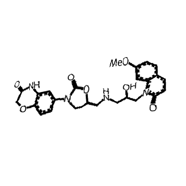 COc1ccc2ccc(=O)n(CC(O)CNCC3CN(c4ccc5c(c4)NC(=O)CO5)C(=O)O3)c2c1